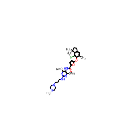 COc1nc(NCCCN2CCN(C)CC2)nc(OC)c1NC(=O)c1ccc(Oc2c(C)cc3c(c2Br)C(C)(C)CC3)o1